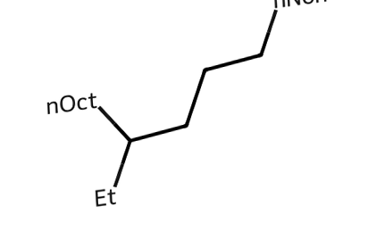 [CH2]CCCCCCCCCCCC(CC)CCCCCCC[CH2]